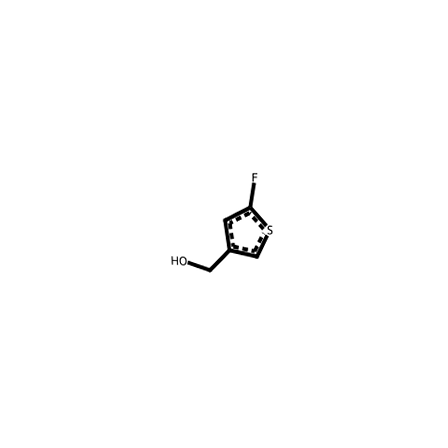 OCc1csc(F)c1